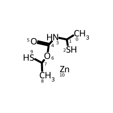 CC(S)NC(=O)OC(C)S.[Zn]